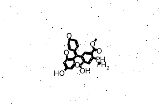 COC(=O)c1cc(-c2c3ccc(=O)cc-3oc3cc(O)ccc23)c(C(=O)O)cc1PP